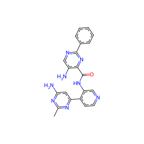 Cc1nc(N)cc(-c2ccncc2NC(=O)c2nc(-c3ccccc3)ncc2N)n1